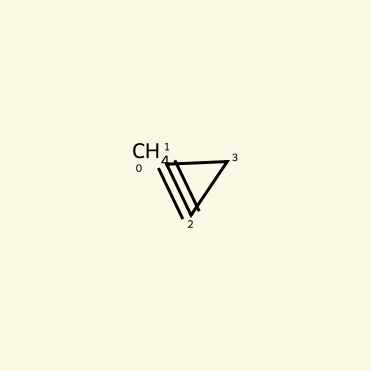 C.C1#CC1